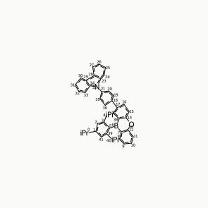 CC(C)c1cc(C(C)C)c(B2c3ccccc3Oc3ccc(-c4ccc(-n5c6ccccc6c6ccccc65)cc4)cc32)c(C(C)C)c1